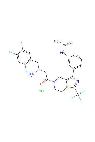 CC(=O)Nc1cccc(-c2nc(C(F)(F)F)n3c2CN(C(=O)C[C@H](N)Cc2cc(F)c(F)cc2F)CC3)c1.Cl